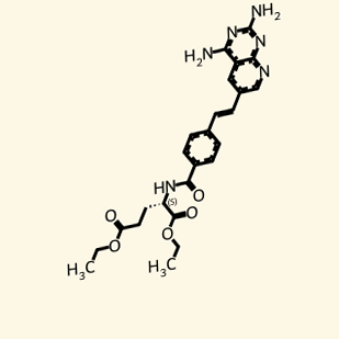 CCOC(=O)CC[C@H](NC(=O)c1ccc(C=Cc2cnc3nc(N)nc(N)c3c2)cc1)C(=O)OCC